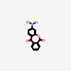 CCN(CC)c1ccc2c(=O)c3ccccc3c(=O)oc2c1